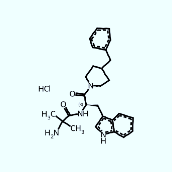 CC(C)(N)C(=O)N[C@H](Cc1c[nH]c2ccccc12)C(=O)N1CCC(Cc2ccccc2)CC1.Cl